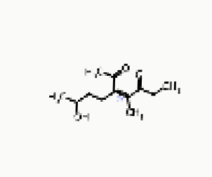 CCC(=O)/C(C)=C(/CCC(C)O)C(C)=O